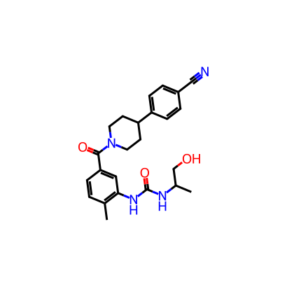 Cc1ccc(C(=O)N2CCC(c3ccc(C#N)cc3)CC2)cc1NC(=O)NC(C)CO